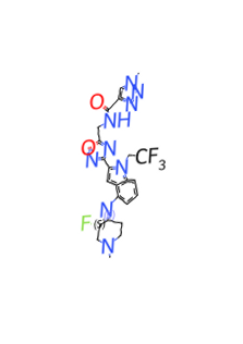 CN1CC/C(=N\c2cccc3c2cc(-c2noc(CNC(=O)c4cn(C)nn4)n2)n3CC(F)(F)F)[C@@H](F)C1